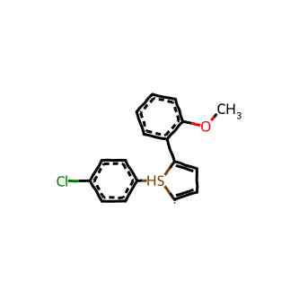 COc1ccccc1C1=CC=[C][SH]1c1ccc(Cl)cc1